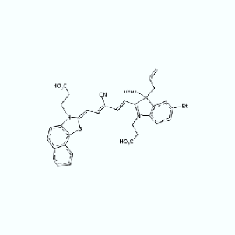 C=CCC1(CCCCCC)C(/C=C/C(C#N)=C/C=C2\Sc3c(ccc4ccccc34)N2CCC(=O)O)=[N+](CCC(=O)O)c2ccc(CC)cc21